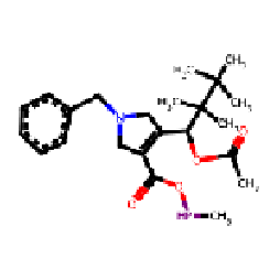 CPOC(=O)C1=C(C(OC(C)=O)C(C)(C)C(C)(C)C)CN(Cc2ccccc2)C1